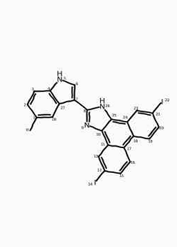 Cc1ccc2[nH]cc(-c3nc4c5cc(I)ccc5c5ccc(I)cc5c4[nH]3)c2c1